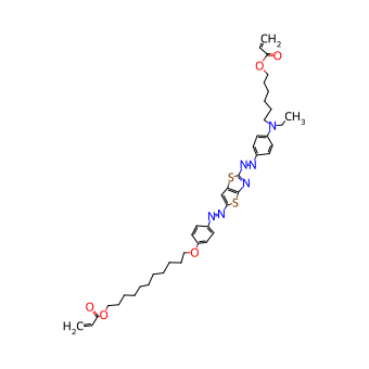 C=CC(=O)OCCCCCCCCCCCOc1ccc(N=Nc2cc3sc(N=Nc4ccc(N(CC)CCCCCCOC(=O)C=C)cc4)nc3s2)cc1